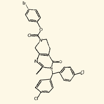 Cc1nc2c(c(=O)n1C(c1ccc(Cl)cc1)c1ccc(Cl)cc1)CCN(C(=O)Oc1ccc(Br)cc1)C2